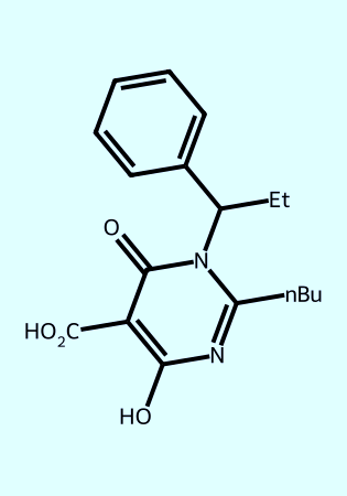 CCCCc1nc(O)c(C(=O)O)c(=O)n1C(CC)c1ccccc1